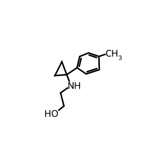 Cc1ccc(C2(NCCO)CC2)cc1